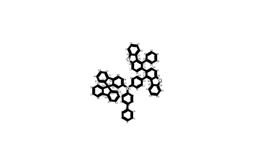 c1ccc(-c2ccc(N(c3ccc(-c4c(-c5ccc6oc7ccccc7c6c5-c5ccccc5)ccc5oc6ccccc6c45)cc3)c3ccc4c(c3)C3(c5ccccc5-c5ccccc53)c3ccccc3-4)cc2)cc1